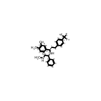 CNC(=O)[C@@H](N[C@H](CCc1ccc(C(F)(F)F)cc1)c1ccc(C)c(C)c1)c1ccccc1